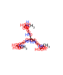 CC(=O)NC1C(OCCOCCOCCNC(=O)CCCCC(C)(COCCC(=O)NCCOCCOCCOC2OC(CO)C(O)C(O)C2NC(C)=O)COCCC(=O)NCCOCCOCCOC2OC(CO)C(O)C(O)C2NC(C)=O)OC(CO)C(O)C1O